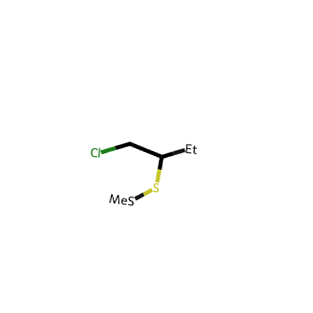 CCC(CCl)SSC